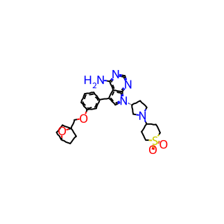 Nc1ncnc2c1c(-c1cccc(OCC34CCC(CC3)O4)c1)cn2[C@@H]1CCN(C2CCS(=O)(=O)CC2)C1